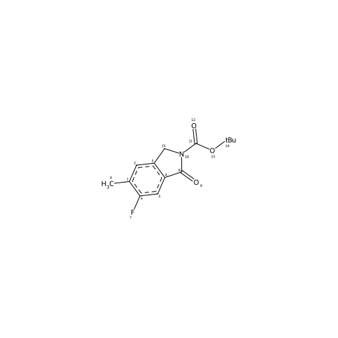 Cc1cc2c(cc1F)C(=O)N(C(=O)OC(C)(C)C)C2